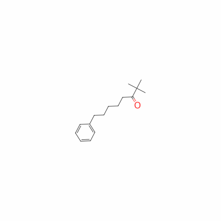 CC(C)(C)C(=O)CCCCCc1ccccc1